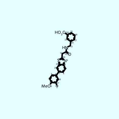 COc1ccc(-c2ccc3nc(CC(=O)NCc4cccc(C(=O)O)c4)sc3c2)cc1F